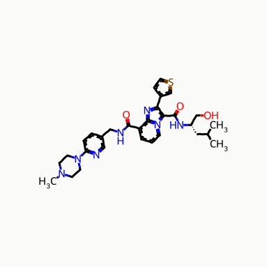 CC(C)C[C@@H](CO)NC(=O)c1c(-c2ccsc2)nc2c(C(=O)NCc3ccc(N4CCN(C)CC4)nc3)cccn12